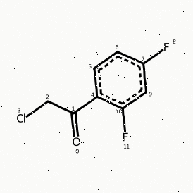 O=C(CCl)c1[c]cc(F)cc1F